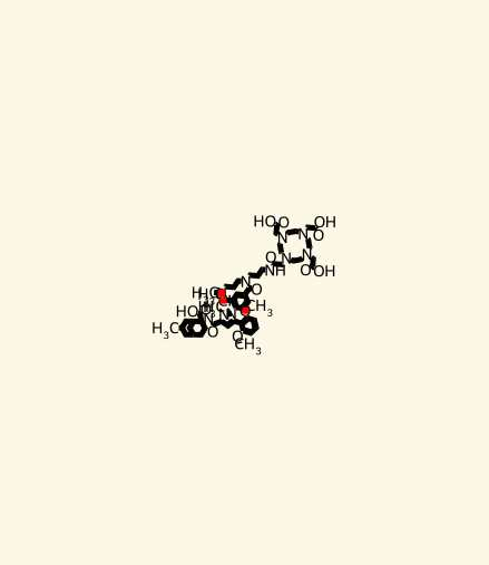 COc1cccc(OC)c1-c1cc(C(=O)NC2(C(=O)O)CCC3CC(C)CC2C3)nn1-c1ccc(C(=O)N(CCCNC(=O)CN2CCN(CC(=O)O)CCN(CC(=O)O)CCN(CC(=O)O)CC2)CCCN(C)C)cc1C(C)C